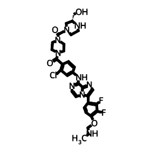 CNCOc1ccc(-c2cnc3c(Nc4ccc(C(=O)N5CCN(C(=O)N6CCN[C@@H](CO)C6)CC5)c(Cl)c4)nccn23)c(F)c1F